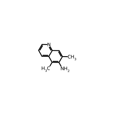 Cc1cc2ncccc2c(C)c1N